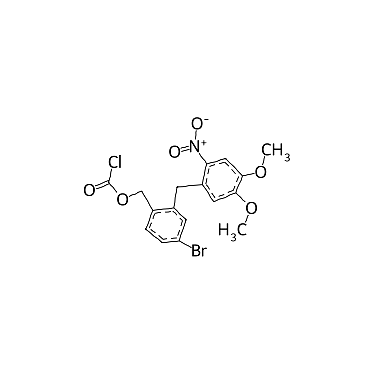 COc1cc(Cc2cc(Br)ccc2COC(=O)Cl)c([N+](=O)[O-])cc1OC